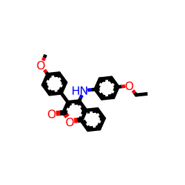 CCOc1ccc(Nc2c(-c3ccc(OC)cc3)c(=O)oc3ccccc23)cc1